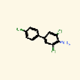 Nc1c(Cl)cc(-c2ccc(Cl)cc2)cc1Cl